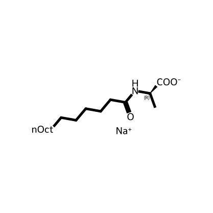 CCCCCCCCCCCCCC(=O)N[C@H](C)C(=O)[O-].[Na+]